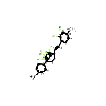 Cc1ccc(C23CCC(C#Cc4ccc(C)c(F)c4F)(CC2)C(F)(F)C3(F)F)cc1